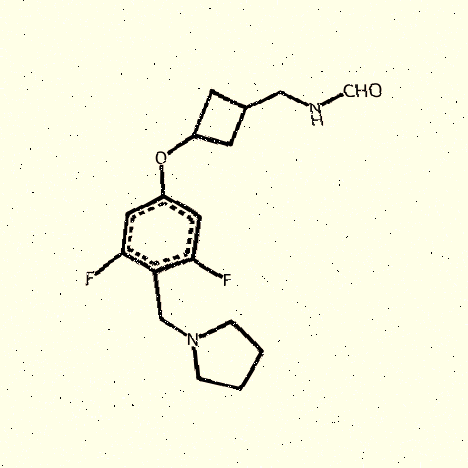 O=CNCC1CC(Oc2cc(F)c(CN3CCCC3)c(F)c2)C1